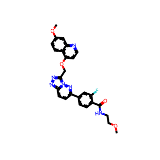 COCCNC(=O)c1ccc(-c2ccc3nnc(COc4ccnc5cc(OC)ccc45)n3n2)cc1F